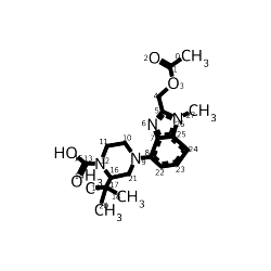 CC(=O)OCc1nc2c(N3CCN(C(=O)O)C(C(C)(C)C)C3)cccc2n1C